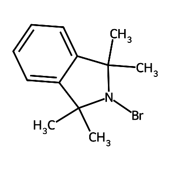 CC1(C)c2ccccc2C(C)(C)N1Br